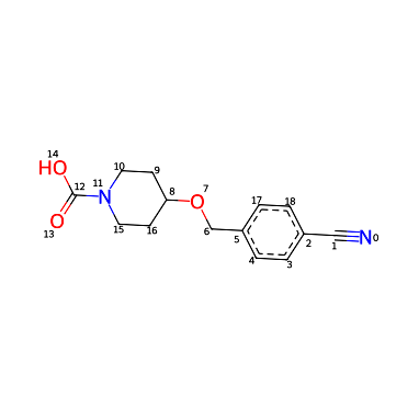 N#Cc1ccc(COC2CCN(C(=O)O)CC2)cc1